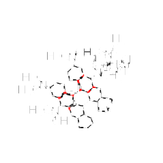 CN(C)[C](=O)[Ru]([Cl])[Cl].CN(C)c1ccc(P(c2ccc(N(C)C)cc2)c2ccc3ccccc3c2-c2c(P(c3ccc(N(C)C)cc3)c3ccc(N(C)C)cc3)ccc3ccccc23)cc1